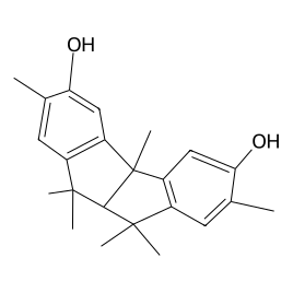 Cc1cc2c(cc1O)C1(C)c3cc(O)c(C)cc3C(C)(C)C1C2(C)C